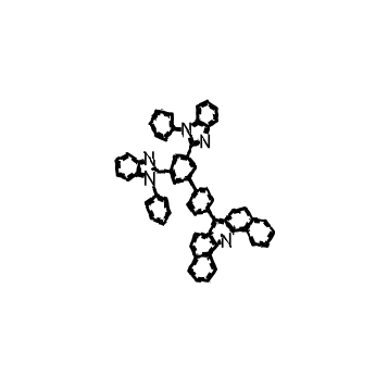 c1ccc(-n2c(-c3cc(-c4ccc(-c5c6ccc7ccccc7c6nc6c5ccc5ccccc56)cc4)cc(-c4nc5ccccc5n4-c4ccccc4)c3)nc3ccccc32)cc1